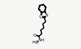 O=C(CCCCCc1nc2ccccc2o1)NO